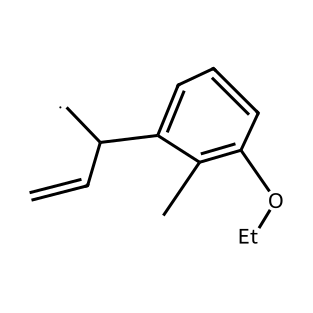 [CH2]C(C=C)c1cccc(OCC)c1C